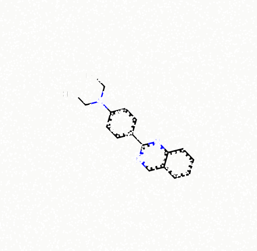 CCN(CC)c1ccc(-c2ncc3ccccc3n2)cc1